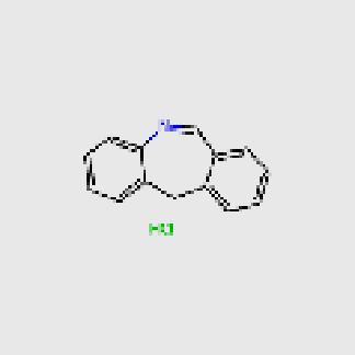 C1=Nc2ccccc2Cc2ccccc21.Cl